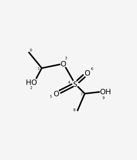 CC(O)OS(=O)(=O)C(C)O